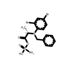 C[C@@H](C(=O)OP(N)(=O)O)N(Cc1ccccc1)c1ccc(Br)cc1Br